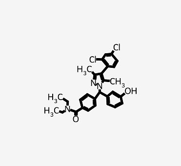 CCN(CC)C(=O)c1ccc(C(c2cccc(O)c2)n2nc(C)c(-c3ccc(Cl)cc3Cl)c2C)cc1